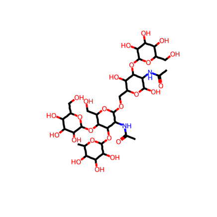 CC(=O)NC1C(O)OC(COC2OC(CO)C(OC3OC(CO)C(O)C(O)C3O)C(OC3OC(C)C(O)C(O)C3O)C2NC(C)=O)C(O)C1OC1OC(CO)C(O)C(O)C1O